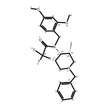 COc1ccc(CN(C(=O)C(F)(F)F)[C@H]2CCN(Cc3ccccc3)C[C@H]2C)c(OC)c1